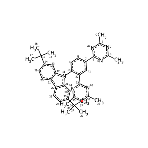 Cc1nc(C)nc(-c2ccc(-n3c4cc(C(C)(C)C)ccc4c4ccc(C(C)(C)C)cc43)c(-c3nc(C)nc(C)n3)c2)n1